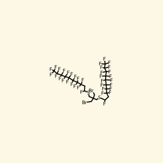 FC(CC(F)(F)C(F)(F)C(F)(F)C(F)(F)C(F)(F)C(F)(F)C(F)(F)C(F)(F)F)SCC(CBr)(CBr)CSC(F)CC(F)(F)C(F)(F)C(F)(F)C(F)(F)C(F)(F)C(F)(F)C(F)(F)C(F)(F)F